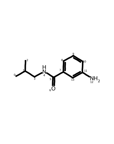 CC(C)CNC(=O)c1c[c]cc(N)c1